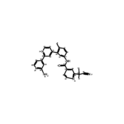 Cc1ccc(NC(=O)c2ccnc(C(C)(C)C#N)c2)cc1-c1ccnc(-c2ccnc(N)c2)c1